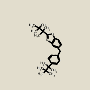 CC(C)(C)C(C)(C)c1ccc(Cc2ccc3oc(C(C)(C)C(C)(C)C)nc3c2)cc1